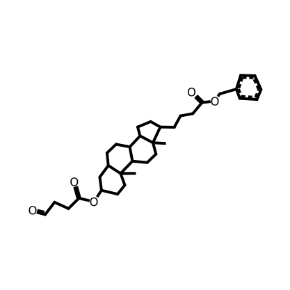 CC12CCC3C(CCC4CC(OC(=O)CCC=O)CCC43C)C1CCC2CCCC(=O)OCc1ccccc1